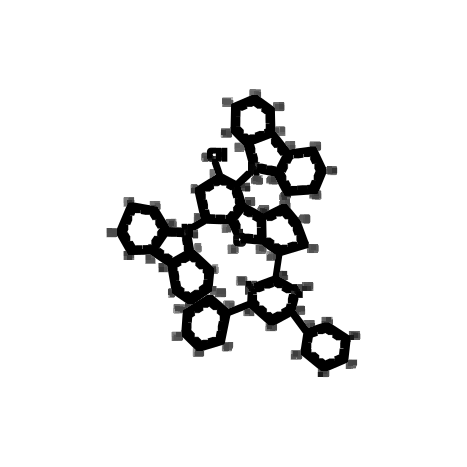 N#Cc1cc(-n2c3ccccc3c3ccccc32)c2oc3c(-c4nc(-c5ccccc5)cc(-c5ccccc5)n4)cccc3c2c1-n1c2ccccc2c2ccccc21